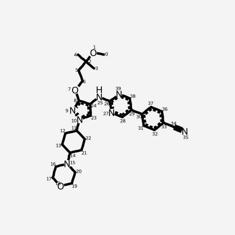 COC(C)(C)CCOc1nn(C2CCC(N3CCOCC3)CC2)cc1Nc1ncc(-c2ccc(C#N)cc2)cn1